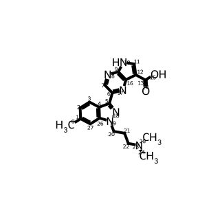 Cc1ccc2c(-c3cnc4[nH]cc(C(=O)O)c4n3)nn(CCCN(C)C)c2c1